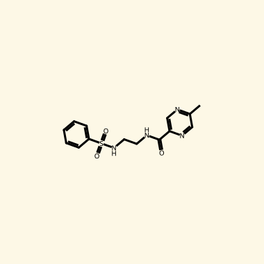 Cc1cnc(C(=O)NCCNS(=O)(=O)c2ccccc2)cn1